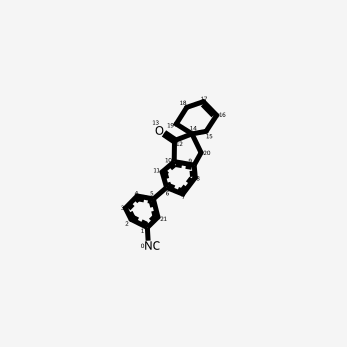 [C-]#[N+]c1cccc(-c2ccc3c(c2)C(=O)C2(CC=CCC2)C3)c1